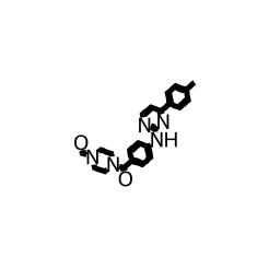 Cc1ccc(-c2ccnc(Nc3ccc(C(=O)N4CCN(C=O)CC4)cc3)n2)cc1